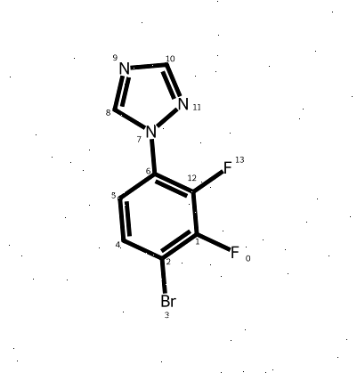 Fc1c(Br)ccc(-n2cncn2)c1F